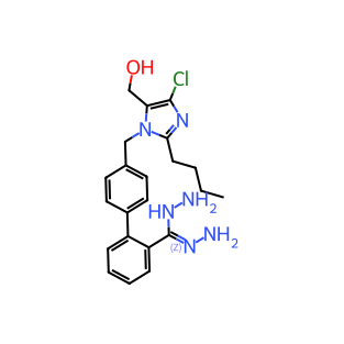 CCCCc1nc(Cl)c(CO)n1Cc1ccc(-c2ccccc2/C(=N/N)NN)cc1